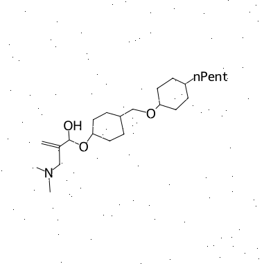 C=C(CN(C)C)C(O)OC1CCC(COC2CCC(CCCCC)CC2)CC1